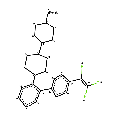 CCCCCC1CCC(C2CCC(c3ccccc3-c3ccc(C(F)=C(F)F)cc3)CC2)CC1